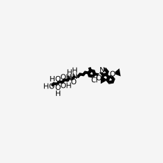 Cc1cc(COC2(c3cnccc3-c3ccccc3OC3CC3)CC2)c(Cl)cc1CCCCNC(=O)NC[C@H](O)[C@@H](O)C(O)C(O)CO